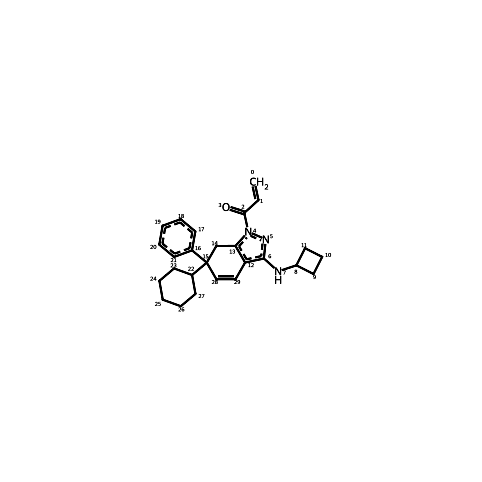 C=CC(=O)n1nc(NC2CCC2)c2c1CC(c1ccccc1)(C1CCCCC1)C=C2